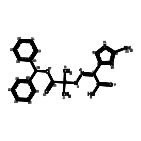 CC(C)(O/N=C(\C(=O)O)c1csc(N)n1)C(=O)OC(c1ccccc1)c1ccccc1